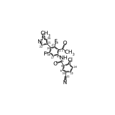 CC(=O)c1c(NC(=O)c2cc(C#N)ccc2Cl)cc(F)c(-c2cnn(C)c2)c1F